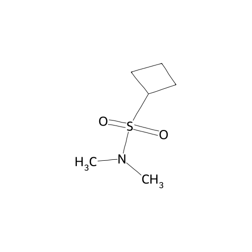 CN(C)S(=O)(=O)C1CCC1